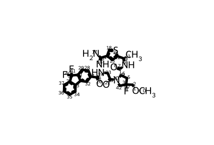 COC[C@@]1(F)C[C@@H](C(=O)N[C@H](C)c2cc(C(=N)N)cs2)N(C(=O)CNC(=O)c2ccc3c(c2)-c2ccccc2C3(F)F)C1